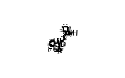 Fc1cccc(-c2nc(CCc3c[nH]c4ccccc34)oc2-c2ccco2)c1